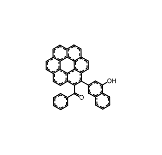 O=C(c1ccccc1)c1c(-c2cc(O)c3ccccc3c2)c2ccc3ccc4ccc5ccc6ccc1c1c6c5c4c3c21